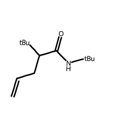 C=CCC(C(=O)NC(C)(C)C)C(C)(C)C